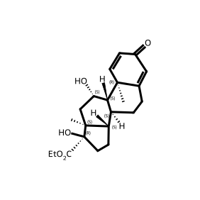 CCOC(=O)[C@@]1(O)CC[C@H]2[C@@H]3CCC4=CC(=O)C=C[C@]4(C)[C@H]3[C@@H](O)C[C@@]21C